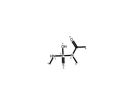 CNP(O)(=S)N(C)C(C)=O